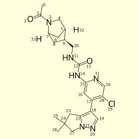 CC(=O)N1C[C@@H]2C[C@H]1C[C@@H]2CNC(=O)Nc1cc(-c2cnn3c2CC(C)(C)C3)c(Cl)cn1